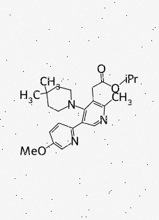 COc1ccc(-c2cnc(C)c(CC(=O)OC(C)C)c2N2CCC(C)(C)CC2)nc1